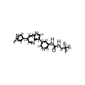 Cn1cc(-c2cnc3c(-c4cncc(NC(=O)NCC(F)(F)F)c4)cnn3c2)cn1